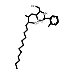 CCCCCCCCCCCCC(O)C(C)CC(O)C(CO)NC(=O)c1ccccc1C